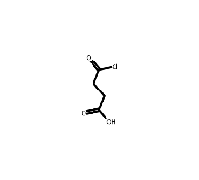 O=C(O)CCC(=O)Cl